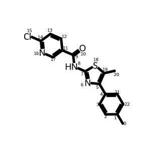 Cc1ccc(-c2nc(NC(=O)c3ccc(Cl)nc3)sc2C)cc1